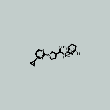 N#CN1[C@H]2CC[C@@H]1[C@H](NC(=O)C1CCN(c3nccc(C4CC4)n3)C1)C2